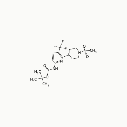 CC(C)(C)OC(=O)Nc1ccc(C(F)(F)F)c(N2CCN(S(C)(=O)=O)CC2)n1